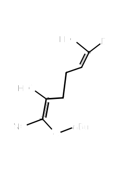 CCCCOC(C#N)=C(C)CCC=C(C)CC